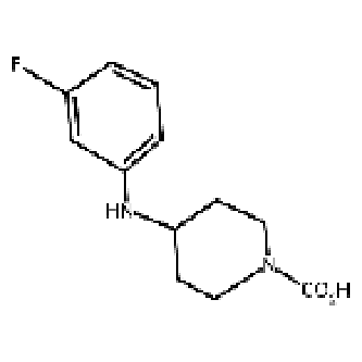 O=C(O)N1CCC(Nc2cccc(F)c2)CC1